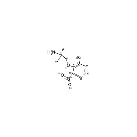 CC(C)(N)COc1c(Br)cccc1[N+](=O)[O-]